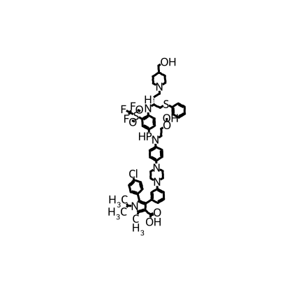 Cc1c(C(=O)O)c(-c2cccc(N3CCN(c4ccc(N(CCOO)Pc5ccc(N[C@H](CCN6CCC(CO)CC6)CSc6ccccc6)c(S(=O)(=O)C(F)(F)F)c5)cc4)CC3)c2)c(-c2ccc(Cl)cc2)n1C(C)C